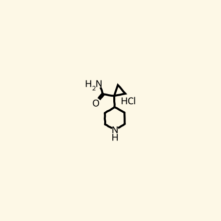 Cl.NC(=O)C1(C2CCNCC2)CC1